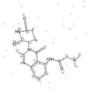 C=C1c2c(cccc2NC(=O)CN(C)C)N=C(C)N1C1CCC(=O)NC1=O